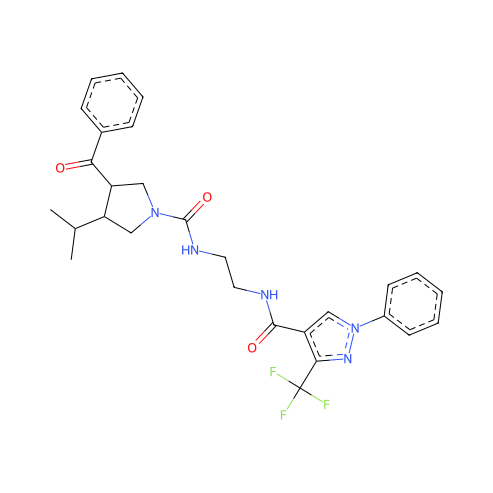 CC(C)C1CN(C(=O)NCCNC(=O)c2cn(-c3ccccc3)nc2C(F)(F)F)CC1C(=O)c1ccccc1